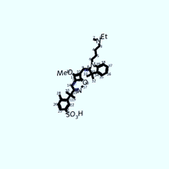 CCN(C)CCCCN1/C(=C/C2=C(OC)C(=C/C(=N\C)C(C)(C)c3cc(S(=O)(=O)O)ccc3C)/C2=O)C(C)(C)c2ccccc21